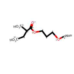 CCCCCCCCCOCCCOC(=O)C(CC(=O)O)S(=O)(=O)O